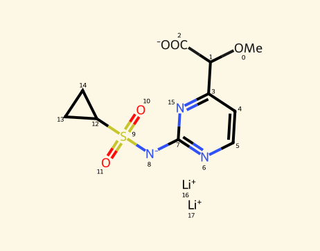 COC(C(=O)[O-])c1ccnc([N-]S(=O)(=O)C2CC2)n1.[Li+].[Li+]